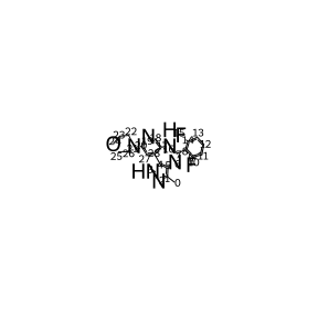 Cc1n[nH]c2c1N=C(c1c(F)cccc1F)Nc1cnc(N3CCOCC3)cc1-2